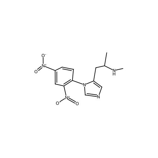 CNC(C)Cc1cncn1-c1ccc([N+](=O)[O-])cc1[N+](=O)[O-]